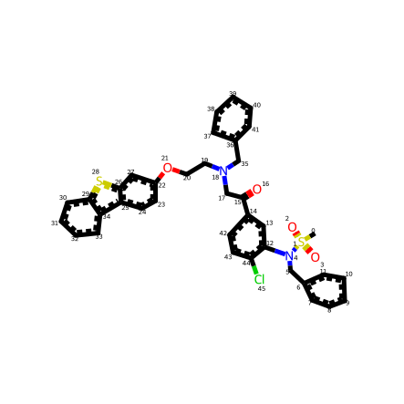 CS(=O)(=O)N(Cc1ccccc1)c1cc(C(=O)CN(CCOc2ccc3c(c2)sc2ccccc23)Cc2ccccc2)ccc1Cl